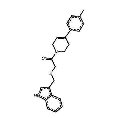 Cc1ccc(C2=CCN(C(=O)CSCc3c[nH]c4ccccc34)CC2)cc1